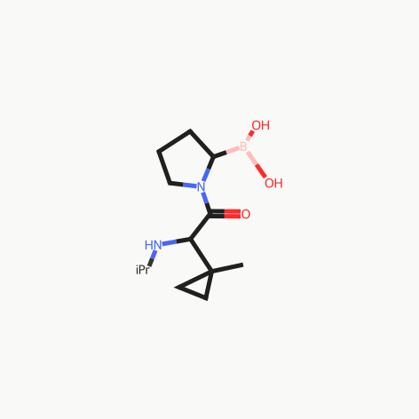 CC(C)NC(C(=O)N1CCCC1B(O)O)C1(C)CC1